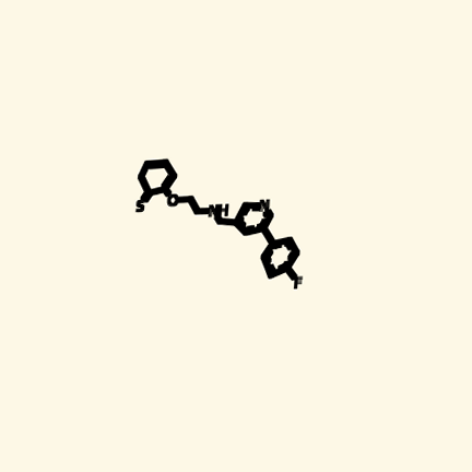 Fc1ccc(-c2cncc(CNCCOC3=CC=CCC3=S)c2)cc1